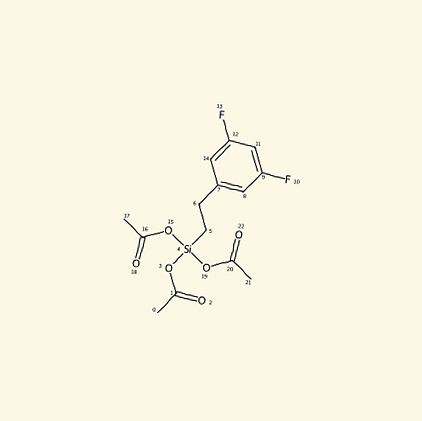 CC(=O)O[Si](CCc1cc(F)cc(F)c1)(OC(C)=O)OC(C)=O